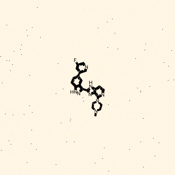 CN1CCN(c2nccc3[nH]c(-c4n[nH]c5ccc(-c6cncc(F)c6)cc45)nc23)CC1